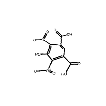 O=C(O)c1cc(C(=O)O)c([N+](=O)[O-])c(O)c1[N+](=O)[O-]